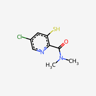 CN(C)C(=O)c1ncc(Cl)cc1S